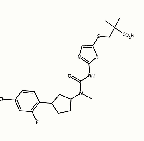 CN(C(=O)Nc1ncc(SCC(C)(C)C(=O)O)s1)C1CCC(c2ccc(Cl)cc2F)C1